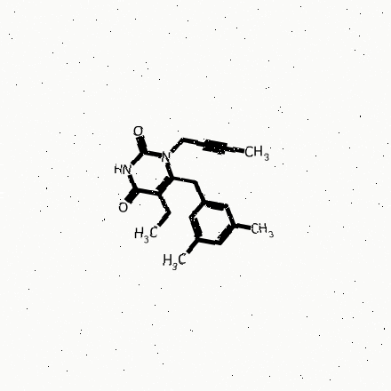 CC#CCn1c(Cc2cc(C)cc(C)c2)c(CC)c(=O)[nH]c1=O